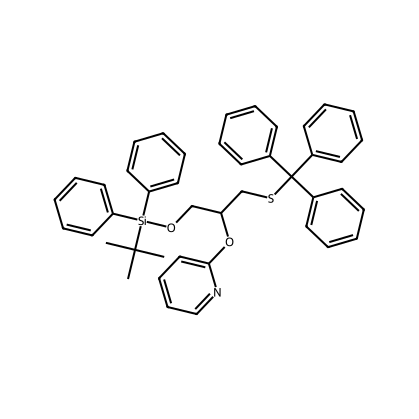 CC(C)(C)[Si](OCC(CSC(c1ccccc1)(c1ccccc1)c1ccccc1)Oc1ccccn1)(c1ccccc1)c1ccccc1